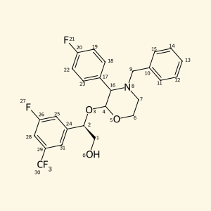 OC[C@H](OC1OCCN(Cc2ccccc2)C1c1ccc(F)cc1)c1cc(F)cc(C(F)(F)F)c1